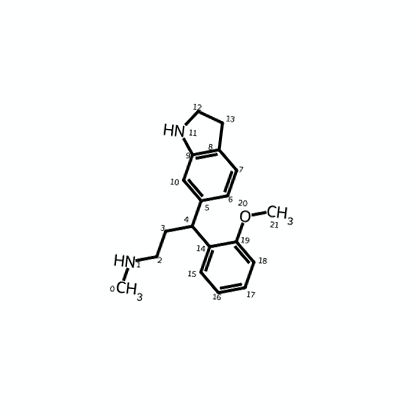 CNCCC(c1ccc2c(c1)NCC2)c1ccccc1OC